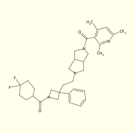 Cc1cc(C(F)(F)F)nc(C)c1C(=O)N1CC2CN(CCC3(c4ccccc4)CN(C(=O)C4CCC(F)(F)CC4)C3)CC2C1